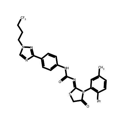 Cc1ccc(C(C)C)c(N2C(=O)CSC2=NC(=O)Nc2ccc(-c3ncn(CCCC(F)(F)F)n3)cc2)c1